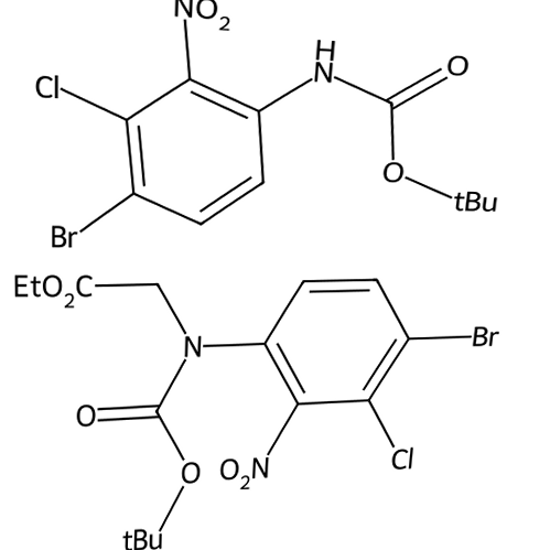 CC(C)(C)OC(=O)Nc1ccc(Br)c(Cl)c1[N+](=O)[O-].CCOC(=O)CN(C(=O)OC(C)(C)C)c1ccc(Br)c(Cl)c1[N+](=O)[O-]